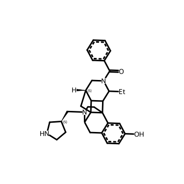 CCC1C2C3[C@@H](CN1C(=O)c1ccccc1)CC31C3Cc4ccc(O)cc4C21CCN3C[C@H]1CCNC1